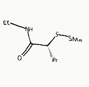 CCNC(=O)[C@H](SSC)C(C)C